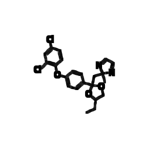 CCC1COC(CC2(C)N=CC=N2)(c2ccc(Oc3ccc(Cl)cc3Cl)cc2)O1